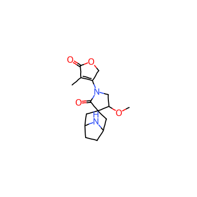 COC1CN(C2=C(C)C(=O)OC2)C(=O)C12CC1CCC(C2)N1